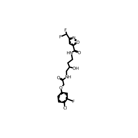 O=C(COc1ccc(Cl)c(F)c1)NCC(O)CCNC(=O)c1cc(C(F)F)no1